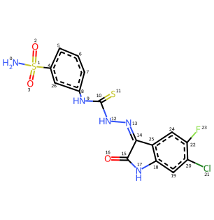 NS(=O)(=O)c1cccc(NC(=S)NN=C2C(=O)Nc3cc(Cl)c(F)cc32)c1